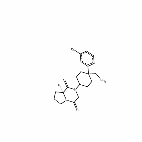 NCC1(c2cccc(Cl)c2)CCC(N2CC(=O)N3CCC[C@H]3C2=O)CC1